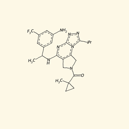 CC(C)c1nnc2nc(NC(C)c3cc(N)cc(C(F)(F)F)c3)c3c(n12)CN(C(=O)C1(C)CC1)C3